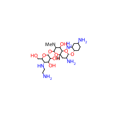 CNC1C(O[C@H]2OC(CO)[C@@H](NCCN)C(O)C2O)O[C@H]2CC(N)[C@@H](O[C@H]3CCC(N)CC3N)OC2C1O